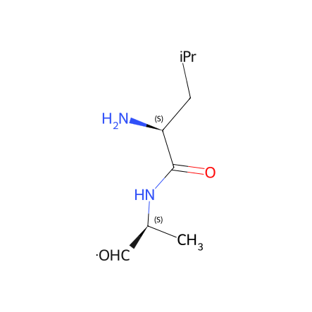 CC(C)C[C@H](N)C(=O)N[C@@H](C)[C]=O